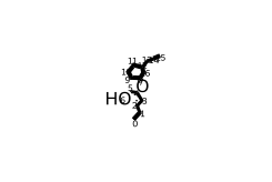 C=CC[CH]C(CO)Oc1cccc(CC=C)c1